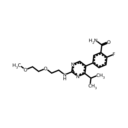 COCCOCCNc1ncc(-c2ccc(F)c(C(N)=O)c2)c(C(C)C)n1